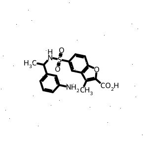 Cc1c(C(=O)O)oc2ccc(S(=O)(=O)NC(C)c3cccc(N)c3)cc12